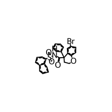 O=C(NS(=O)(=O)c1cccc2ccccc12)C1(c2ccccc2)CCOc2ccc(Br)cc21